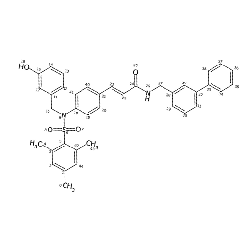 Cc1cc(C)c(S(=O)(=O)N(Cc2cccc(O)c2)c2ccc(C=CC(=O)NCc3cccc(-c4ccccc4)c3)cc2)c(C)c1